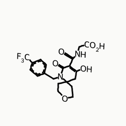 O=C(O)CNC(=O)C1=C(O)CC2(CCOCC2)N(Cc2ccc(C(F)(F)F)cc2)C1=O